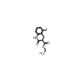 CCOC(=O)C1Cc2c(F)cccc2NC1=O